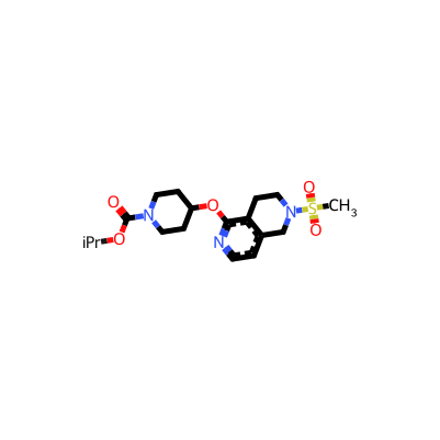 CC(C)OC(=O)N1CCC(Oc2nccc3c2CCN(S(C)(=O)=O)C3)CC1